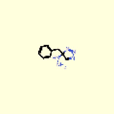 NNC1(Cc2ccccc2)C=NN=N1